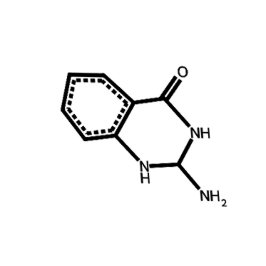 NC1NC(=O)c2ccccc2N1